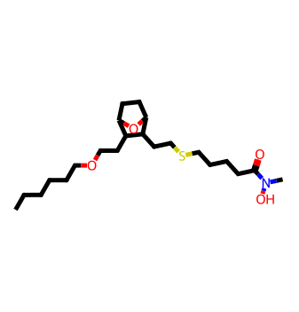 CCCCCCOCCC1C2CCC(O2)C1CCSCCCCC(=O)N(C)O